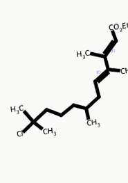 CCOC(=O)/C=C(C)/C(C)=C/CC(C)CCCC(C)(C)Cl